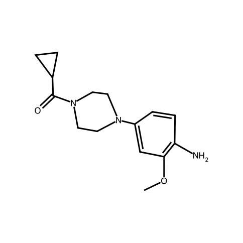 COc1cc(N2CCN(C(=O)C3CC3)CC2)ccc1N